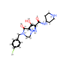 O=C(NC1CCNCC1)c1nn2c(c1O)C(=O)N(Cc1ccc(F)cc1)CC2